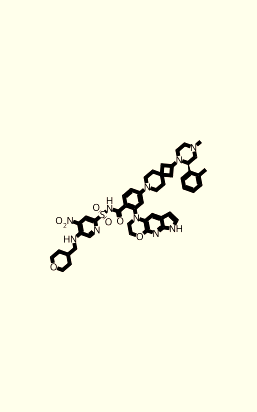 Cc1ccccc1[C@@H]1CN(C)CCN1C1CC2(CCN(c3ccc(C(=O)NS(=O)(=O)c4cc([N+](=O)[O-])c(NCC5CCOCC5)cn4)c(N4CCOc5nc6[nH]ccc6cc54)c3)CC2)C1